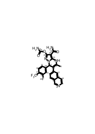 CC1=C(c2ccc3cnccc3c2)C(c2ccc(C(F)(F)F)c(F)c2)n2nc(OC(N)=O)c(C(N)=O)c2N1